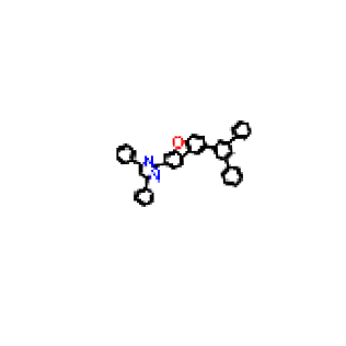 c1ccc(-c2cc(-c3ccccc3)cc(-c3ccc4oc5cc(-c6nc(-c7ccccc7)cc(-c7ccccc7)n6)ccc5c4c3)c2)cc1